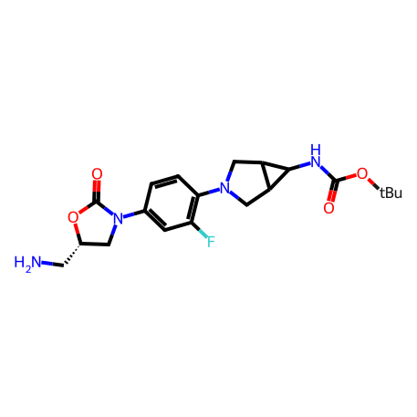 CC(C)(C)OC(=O)NC1C2CN(c3ccc(N4C[C@H](CN)OC4=O)cc3F)CC21